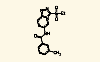 CCS(=O)(=O)c1nnc2ccc(NC(=O)c3cccc(C)c3)cn12